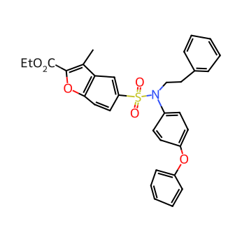 CCOC(=O)c1oc2ccc(S(=O)(=O)N(CCc3ccccc3)c3ccc(Oc4ccccc4)cc3)cc2c1C